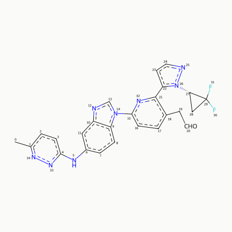 Cc1ccc(Nc2ccc3c(c2)ncn3-c2ccc(CC=O)c(-c3ccnn3[C@H]3CC3(F)F)n2)nn1